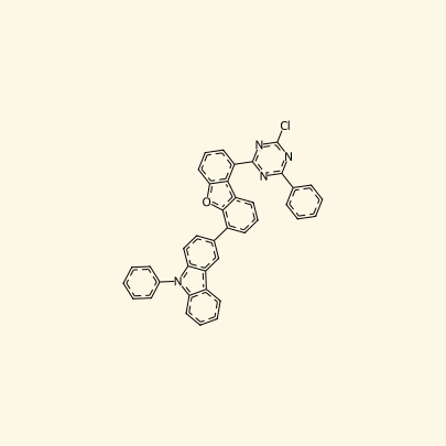 Clc1nc(-c2ccccc2)nc(-c2cccc3oc4c(-c5ccc6c(c5)c5ccccc5n6-c5ccccc5)cccc4c23)n1